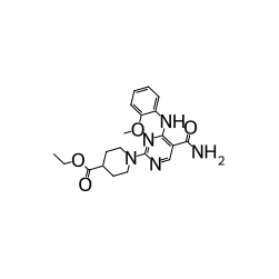 CCOC(=O)C1CCN(c2ncc(C(N)=O)c(Nc3ccccc3OC)n2)CC1